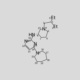 CCC(CC)CN1CCC[C@H](Nc2nccc(N3CCCCCC3)n2)C1